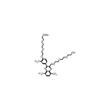 COCCOCCOCCOc1ccc(-c2nc3c(C)ccc(C)c3nc2COCCOCCOCCO)cc1C